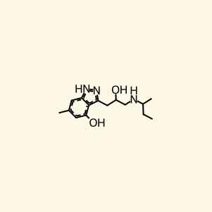 CCC(C)NCC(O)Cc1n[nH]c2cc(C)cc(O)c12